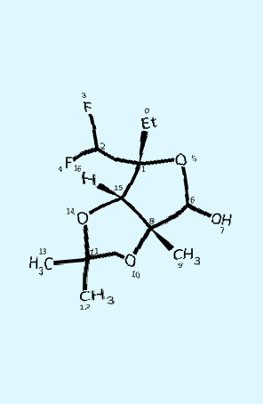 CC[C@@]1(C(F)F)OC(O)[C@]2(C)OC(C)(C)O[C@@H]21